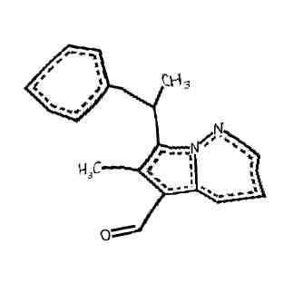 Cc1c(C=O)c2cccnn2c1C(C)c1ccccc1